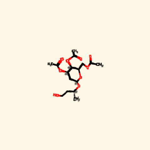 CC(=O)OCC1O[C@@H](O[C@H](C)CCO)C[C@@H](OC(C)=O)[C@H]1OC(C)=O